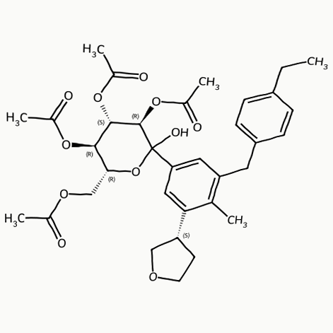 CCc1ccc(Cc2cc(C3(O)O[C@H](COC(C)=O)[C@@H](OC(C)=O)[C@H](OC(C)=O)[C@H]3OC(C)=O)cc([C@@H]3CCOC3)c2C)cc1